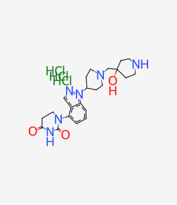 Cl.Cl.Cl.O=C1CCN(c2cccc3c2cnn3C2CCN(CC3(O)CCNCC3)CC2)C(=O)N1